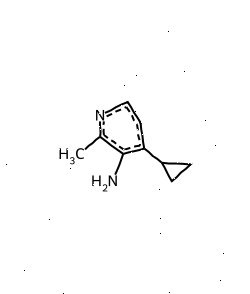 Cc1nccc(C2CC2)c1N